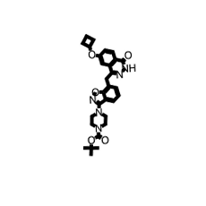 CC(C)(C)OC(=O)N1CCN(c2noc3c(Cc4n[nH]c(=O)c5ccc(OC6CCC6)cc45)cccc23)CC1